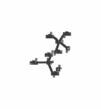 CCC[CH2][Sn+]([CH2]CCC)[CH2]CCC.CCC[CH2][Sn]([Cl])([CH2]CCC)[CH2]CCC.[Cl-]